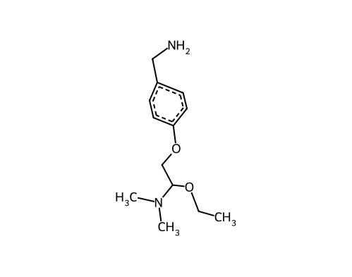 CCOC(COc1ccc(CN)cc1)N(C)C